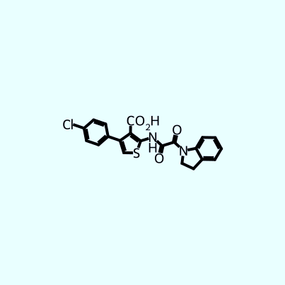 O=C(Nc1scc(-c2ccc(Cl)cc2)c1C(=O)O)C(=O)N1CCc2ccccc21